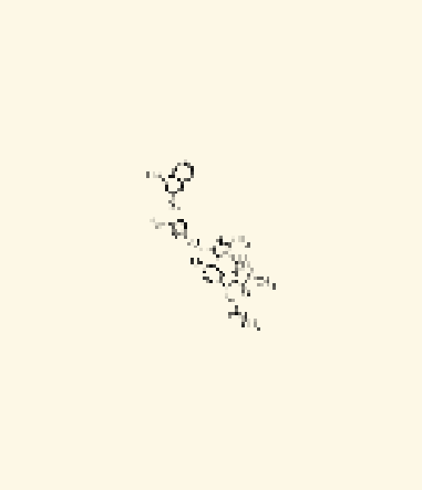 COC(=O)CCc1c(C(=O)OC)n(C)c2c(-c3c(COCc4cc(CSc5cc(O)c6ccccc6c5)n(C)n4)nn(C)c3C)c(Cl)ccc12